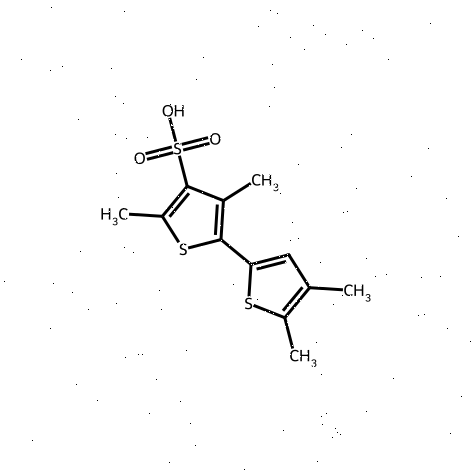 Cc1cc(-c2sc(C)c(S(=O)(=O)O)c2C)sc1C